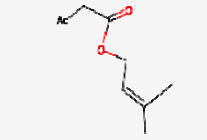 CC(=O)CC(=O)OCC=C(C)C